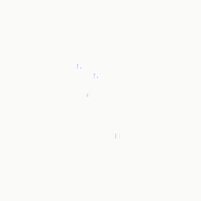 CCCCCCn1ccnc1.[SiH4]